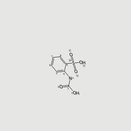 O=C(O)[N]c1ccccc1S(=O)(=O)O